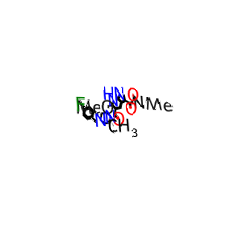 CNC(=O)C(=O)c1c[nH]c2nc(OC)c(C(=O)N3CCN(Cc4ccc(F)cc4)C[C@H]3C)cc12